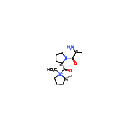 C[C@H](N)C(=O)N1CCC[C@H]1C(=O)[N+]1(C(=O)O)CCC[C@H]1C